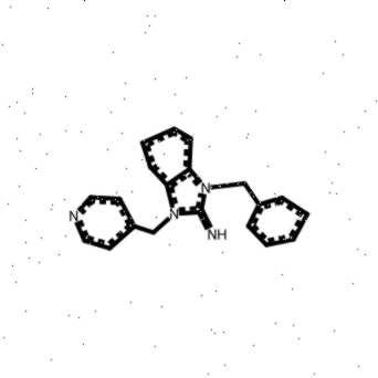 N=c1n(Cc2ccccc2)c2ccccc2n1Cc1ccncc1